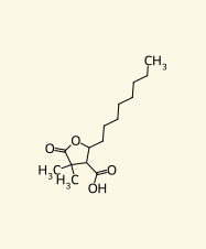 CCCCCCCCC1OC(=O)C(C)(C)C1C(=O)O